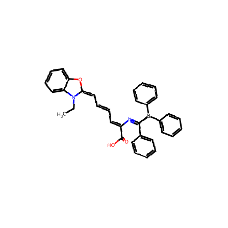 CCN1C(=CC=CC=C(N=C(B(c2ccccc2)c2ccccc2)c2ccccc2)C(=O)O)Oc2ccccc21